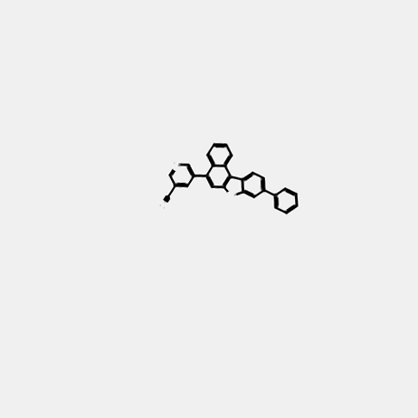 N#Cc1cncc(-c2cc3oc4cc(-c5ccccc5)ccc4c3c3ccccc23)c1